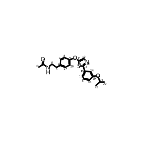 CC(=O)NCCc1ccc(Oc2cnc(-c3cccc(OC(C)C)c3)s2)cc1